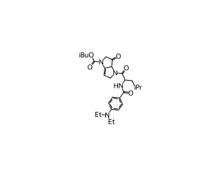 CCN(CC)c1ccc(C(=O)NC(CC(C)C)C(=O)N2CC=C3C2C(=O)CN3C(=O)OCC(C)C)cc1